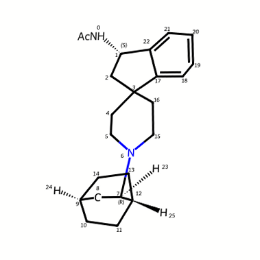 CC(=O)N[C@H]1CC2(CCN([C@@H]3C[C@H]4CC[C@H]3CC4)CC2)c2ccccc21